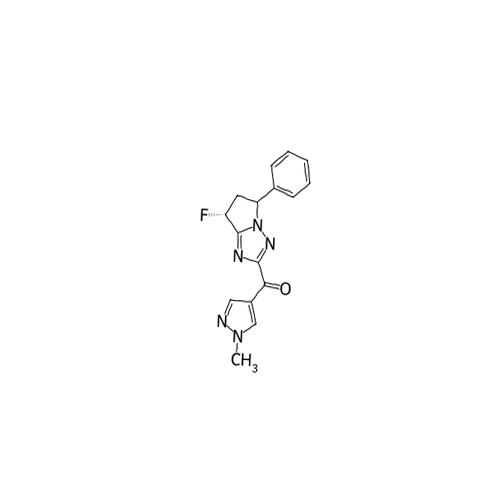 Cn1cc(C(=O)c2nc3n(n2)C(c2ccccc2)C[C@H]3F)cn1